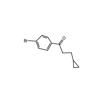 O=C(CCC1CC1)c1ccc(Br)cc1